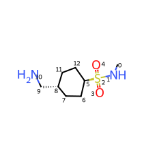 CNS(=O)(=O)[C@H]1CC[C@H](CN)CC1